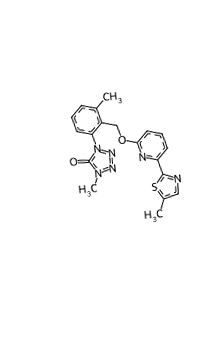 Cc1cnc(-c2cccc(OCc3c(C)cccc3-n3nnn(C)c3=O)n2)s1